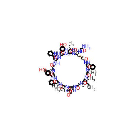 CCCC[C@H]1C(=O)N(C)CC(=O)N[C@@H](COC=O)C(=O)N[C@@H](C(C)C)C(=O)N(C)[C@@H](Cc2ccccc2)C(=O)N[C@@H](Cc2ccc(O)cc2)C(=O)N(C)CC(=O)N[C@@H](Cc2c[nH]c3ccccc23)C(=O)N[C@@H](Cc2ccc(O)cc2)C(=O)N[C@@H](CC(C)C)C(=O)N[C@H](C(=O)NCC(N)=O)CSCC(=O)N[C@@H](Cc2ccccc2)C(=O)N(C)[C@@H](C)C(=O)N1C